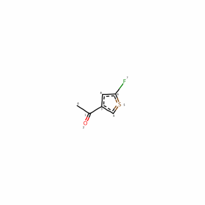 CC(=O)c1csc(F)c1